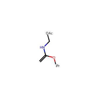 C=C(NCOC(C)=O)OC(C)C